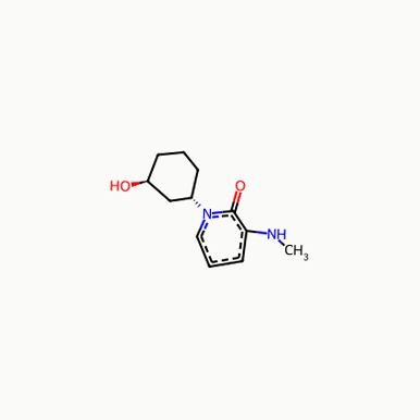 CNc1cccn([C@H]2CCC[C@H](O)C2)c1=O